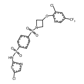 O=S(=O)(Nc1ncc(Cl)s1)c1ccc(S(=O)(=O)N2CC(Oc3ncc(C(F)(F)F)cc3Cl)C2)cc1